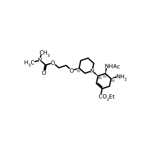 CCOC(=O)C1=C[C@@H](N2CCC[C@H](OCCOC(=O)N(C)C)C2)[C@@H](NC(C)=O)[C@@H](N)C1